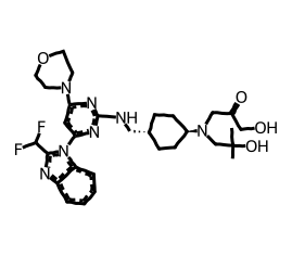 CC(C)(O)CN(CC(=O)CO)[C@H]1CC[C@H](CNc2nc(N3CCOCC3)cc(-n3c(C(F)F)nc4ccccc43)n2)CC1